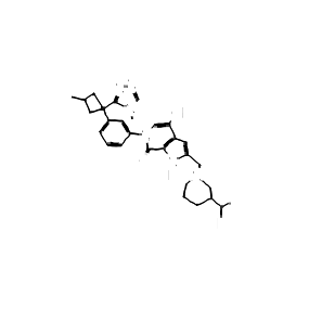 CC1CC(c2cccc(-n3cc(C(F)(F)F)c4cc(CN5CCCC(C(F)F)C5)[nH]c4c3=O)c2)(c2nncn2C)C1